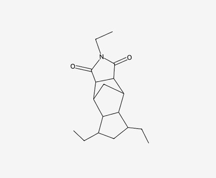 CCC1CC(CC)C2C3CC(C4C(=O)N(CC)C(=O)C34)C12